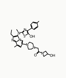 CCc1nc2c(C)cc(N3CCN(CC(=O)N4CC(O)C4)CC3)cn2c1N(C)c1nc(-c2ccc(C)cc2)c(O)s1